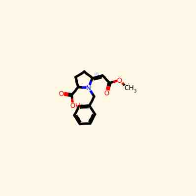 COC(=O)/C=C1/CCC(C(=O)O)N1Cc1ccccc1